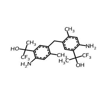 Cc1cc(N)c(C(C)(O)C(F)(F)F)cc1Cc1cc(C(C)(O)C(F)(F)F)c(N)cc1C